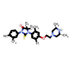 CCc1cc(N2C(=S)N(c3ccc(C#N)c(C(F)(F)F)c3)C(=O)C2(C)C)c(C)cc1OCCN1C[C@@H](C)N[C@@H](C)C1